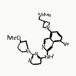 COC1CCN(c2nccc(Nc3cc4c(C(C)C)ccc(N5CC(CSC)C5)c4cn3)n2)CC1